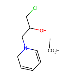 CC(=O)O.OC(CCl)CN1C=CC=CC1